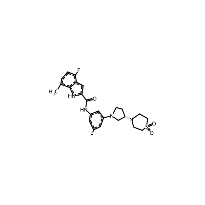 Cc1ccc(F)c2cc(C(=O)Nc3cc(F)cc(N4CC[C@H](N5CCS(=O)(=O)CC5)C4)c3)[nH]c12